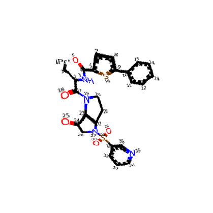 CC(C)CC(NC(=O)c1ccc(-c2ccccc2)s1)C(=O)N1CCC2C1C(=O)CN2S(=O)(=O)c1cccnc1